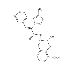 Nc1nc(/C(=C\c2cccnc2)C(=O)N[C@H]2Cc3cccc(C(=O)O)c3OB2O)cs1